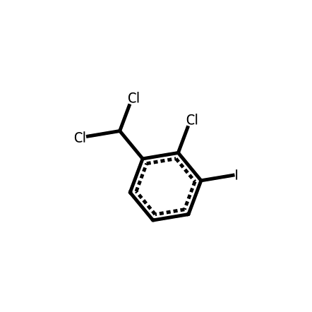 Clc1c(I)cccc1C(Cl)Cl